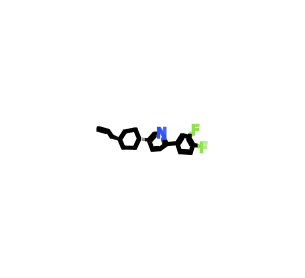 C=CC[C@H]1CC[C@H](c2ccc(-c3ccc(F)c(F)c3)nc2)CC1